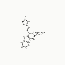 CC1=CCC(C=Cc2cccc3c2Cc2ccccc2-3)=C1.[Cl-].[Cl-].[Zr+2]